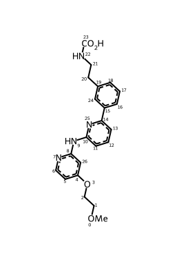 COCCOc1ccnc(Nc2cccc(-c3cccc(CCNC(=O)O)c3)n2)c1